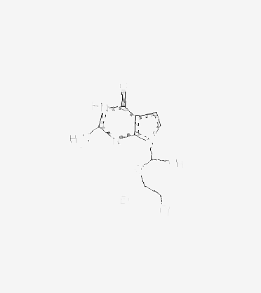 CC[C@@H](CO)OC(C)n1ccc2c(=O)[nH]c(N)nc21